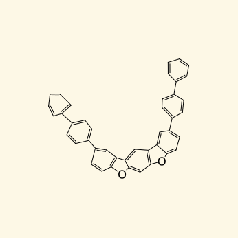 c1ccc(-c2ccc(-c3ccc4oc5cc6oc7ccc(-c8ccc(-c9ccccc9)cc8)cc7c6cc5c4c3)cc2)cc1